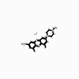 Cc1cc(N)cc2[s+]c3cc(N4CCN(C(C)C)CC4)cc(C)c3nc12.[I-]